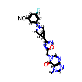 Cn1cnc2ncn(Cc3nc(C4C5CN(c6cc(F)cc(C#N)c6)CC54)no3)c(=O)c21